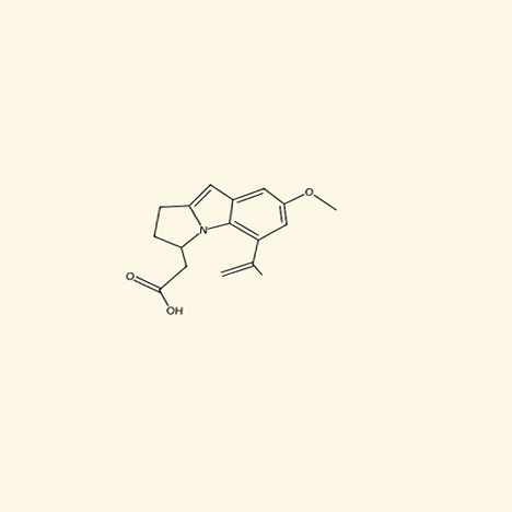 C=C(C)c1cc(OC)cc2cc3n(c12)C(CC(=O)O)CC3